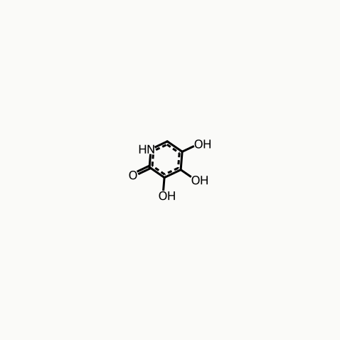 O=c1[nH]cc(O)c(O)c1O